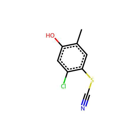 Cc1cc(SC#N)c(Cl)cc1O